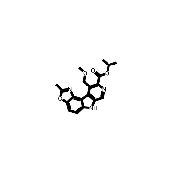 COCc1c(C(=O)OC(C)C)ncc2[nH]c3ccc4oc(C)nc4c3c12